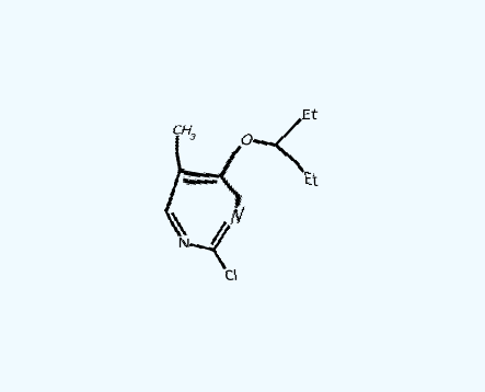 CCC(CC)Oc1nc(Cl)ncc1C